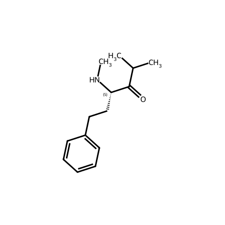 CN[C@@H](CCc1ccccc1)C(=O)C(C)C